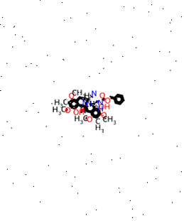 COc1c(C)c(OC)c2c(c1O)[C@H]1[C@@H]3Cc4c(OC)c(C)c(OC)c(O)c4[C@H](CNC(=O)OCc4ccccc4)N3[C@@H](C#N)[C@@H](C2)N1C